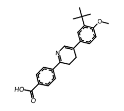 COc1ccc(C2=CN=C(c3ccc(C(=O)O)cc3)CC2)cc1C(C)(C)C